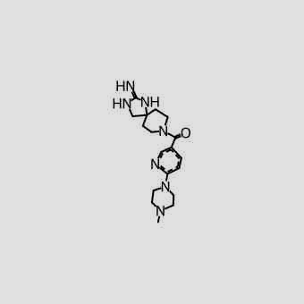 CN1CCN(c2ccc(C(=O)N3CCC4(CC3)CNC(=N)N4)cn2)CC1